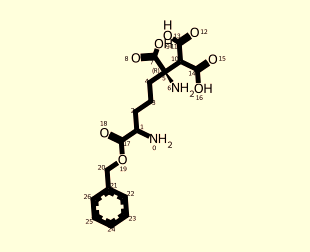 NC(CCC[C@](N)(C(=O)O)C(C(=O)O)C(=O)O)C(=O)OCc1ccccc1